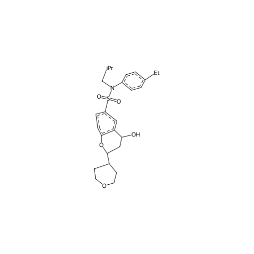 CCc1ccc(N(CC(C)C)S(=O)(=O)c2ccc3c(c2)C(O)CC(C2CCOCC2)O3)cc1